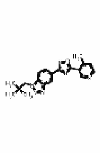 Cc1ccncc1-c1nc(-c2ccc3c(c2)nnn3CC(C)(C)C)no1